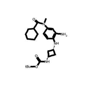 CN(C(=O)C1CCCCC1)c1ccc(N[C@H]2C[C@@H](NC(=O)OC(C)(C)C)C2)c(N)c1